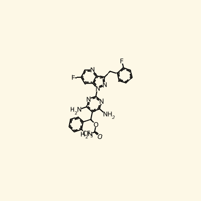 NC(=O)OC(c1ccccc1C(F)(F)F)c1c(N)nc(-n2nc(Cc3ccccc3F)c3ncc(F)cc32)nc1N